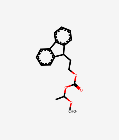 CC(O[C]=O)OC(=O)OCCC1c2ccccc2-c2ccccc21